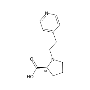 O=C(O)[C@@H]1CCCN1CCc1ccncc1